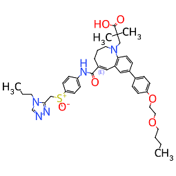 CCCCOCCOc1ccc(-c2ccc3c(c2)/C=C(/C(=O)Nc2ccc([S+]([O-])Cc4nncn4CCC)cc2)CCCN3CC(C)(C)C(=O)O)cc1